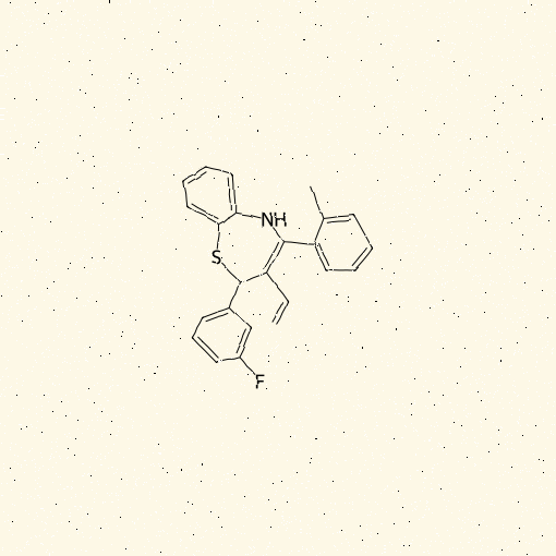 C=CC1=C(c2ccccc2C)Nc2ccccc2SC1c1cccc(F)c1